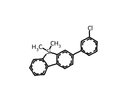 C[Si]1(C)c2ccccc2-c2ccc(-c3cccc(Cl)c3)cc21